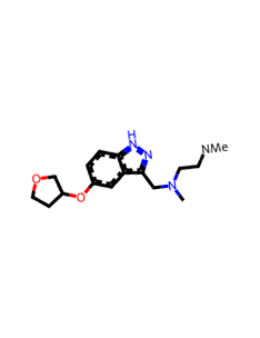 CNCCN(C)Cc1n[nH]c2ccc(OC3CCOC3)cc12